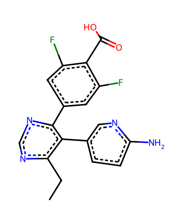 CCc1ncnc(-c2cc(F)c(C(=O)O)c(F)c2)c1-c1ccc(N)nc1